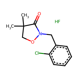 CC1(C)CON(Cc2ccccc2Cl)C1=O.F